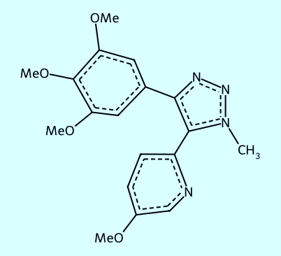 COc1ccc(-c2c(-c3cc(OC)c(OC)c(OC)c3)nnn2C)nc1